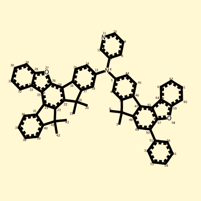 CC1(C)c2cc(N(c3cccnc3)c3ccc4c(c3)C(C)(C)c3c5c(c6c(oc7ccccc76)c3-4)-c3ccccc3C5(C)C)ccc2-c2c1cc(-c1ccccc1)c1oc3ccccc3c21